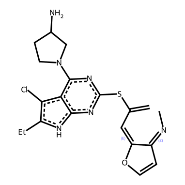 C=C(/C=C1/OC=C/C1=N/C)Sc1nc(N2CCC(N)C2)c2c(Cl)c(CC)[nH]c2n1